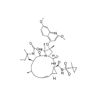 CCC(C)N(C(=O)O)[C@@H]1C(=O)N2[C@@H](C[C@@](C)(Oc3cc(OC)nc4cc(OC)ccc34)C2(F)F)C(=O)N[C@]2(C(=O)NS(=O)(=O)C3(C)CC3)C[C@H]2/C=C\CC[C@@H](C)C[C@H]1CC